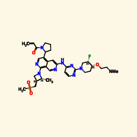 C=CC(=O)N1CCCC1c1cnc(N2C[C@H](CS(C)(=O)=O)[C@H]2C)c2cnc(Nc3ccnc(N4CC[C@@H](OCCNC)[C@@H](F)C4)n3)cc12